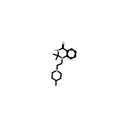 CC1CCN(CCN2c3ccccc3C(=O)NC2(C)C)CC1